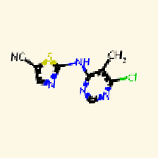 Cc1c(Cl)ncnc1Nc1ncc(C#N)s1